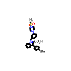 CC(C)(C)c1ccc(-c2c(C(=O)O)n(Cc3cccc(N4CCN(S(C)(=O)=O)CC4)c3)c3ccccc23)cc1